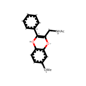 COc1ccc2c(c1)OC(CNC(C)=O)=C(c1ccccc1)O2